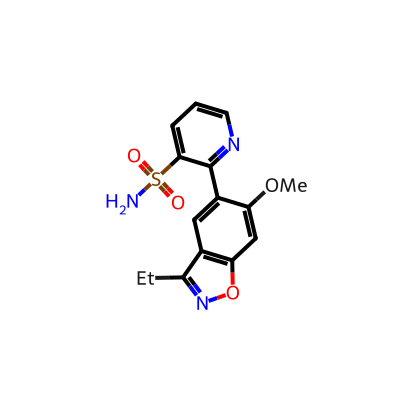 CCc1noc2cc(OC)c(-c3ncccc3S(N)(=O)=O)cc12